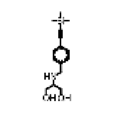 C[Si](C)(C)C#Cc1ccc(CNC(CO)CO)cc1